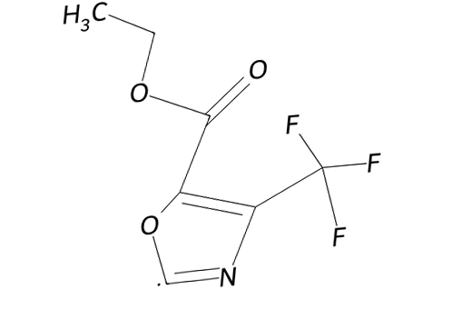 CCOC(=O)c1o[c]nc1C(F)(F)F